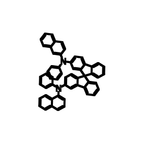 c1ccc(N(c2ccc3c(c2)C2(c4ccccc4-c4cc(N(c5ccccc5)c5cccc6ccccc56)ccc42)c2ccccc2-3)c2ccc3ccccc3c2)cc1